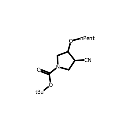 CCCCCOC1CN(C(=O)OC(C)(C)C)CC1C#N